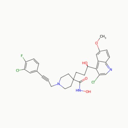 COc1ccc2ncc(Cl)c([C@H](O)CCC3(C(=O)NO)CCN(CC#Cc4ccc(F)c(Cl)c4)CC3)c2c1